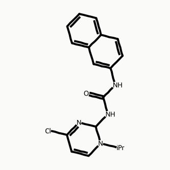 CC(C)N1C=CC(Cl)=NC1NC(=O)Nc1ccc2ccccc2c1